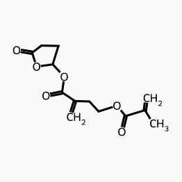 C=C(C)C(=O)OCCC(=C)C(=O)OC1CCC(=O)O1